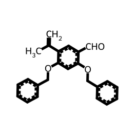 C=C(C)c1cc(C=O)c(OCc2ccccc2)cc1OCc1ccccc1